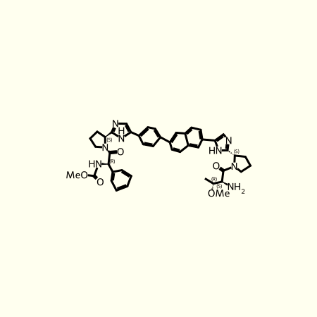 COC(=O)N[C@@H](C(=O)N1CCC[C@H]1c1ncc(-c2ccc(-c3ccc4cc(-c5cnc([C@@H]6CCCN6C(=O)[C@@H](N)[C@@H](C)OC)[nH]5)ccc4c3)cc2)[nH]1)c1ccccc1